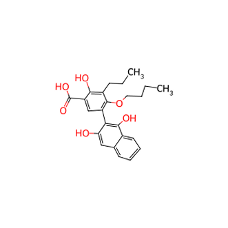 CCCCOc1c(-c2c(O)cc3ccccc3c2O)cc(C(=O)O)c(O)c1CCC